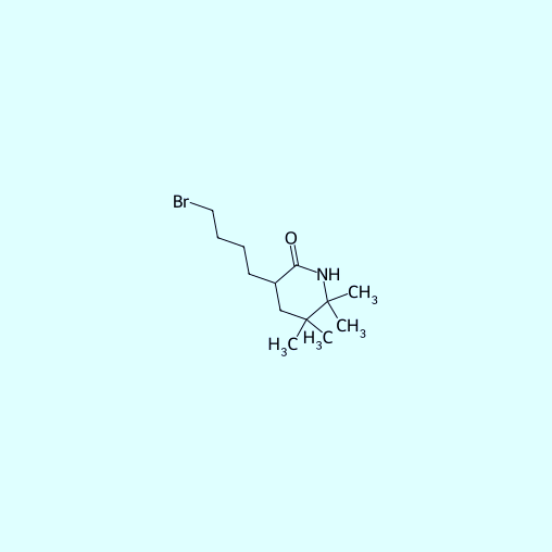 CC1(C)CC(CCCCBr)C(=O)NC1(C)C